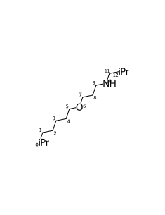 CC(C)CCCCCOCCCNCC(C)C